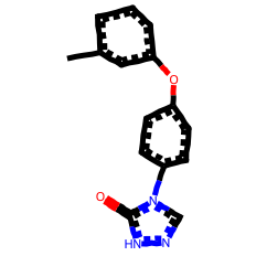 Cc1cccc(Oc2ccc(-n3cn[nH]c3=O)cc2)c1